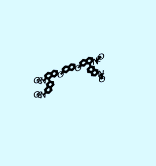 O=C=Nc1ccc2ccc(-c3c(N=C=O)ccc4ccc(Oc5ccc6ccc(Oc7ccc8ccc(N=C=O)c(-c9ccc%10ccc(N=C=O)cc%10c9)c8c7)cc6c5)cc34)cc2c1